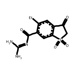 CCc1cc2c(cc1C(=O)N=C(N)N)S(=O)(=O)CC2=O